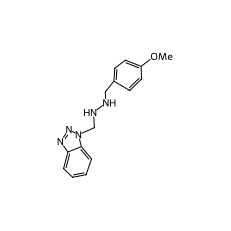 COc1ccc(CNNCn2nnc3ccccc32)cc1